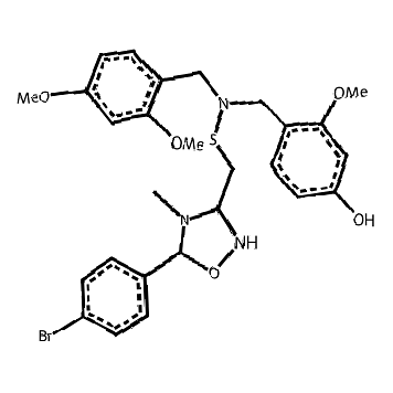 COc1ccc(CN(Cc2ccc(O)cc2OC)SCC2NOC(c3ccc(Br)cc3)N2C)c(OC)c1